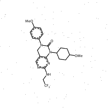 COc1ccc(N2Cc3cnc(NCC(F)(F)F)nc3N(C3CCC(OC)CC3)C2=O)cc1